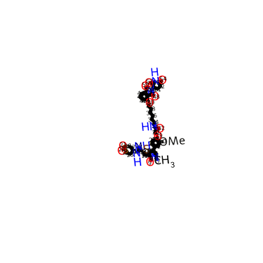 COc1cc(-c2cn(C)c(=O)c3cc(C(=N)NC4CCS(=O)(=O)CC4)sc23)ccc1OCC(=O)NCCCCCCOc1cccc2c1C(=O)N(C1CCC(=O)NC1=O)C2=O